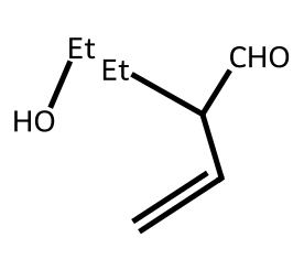 C=CC(C=O)CC.CCO